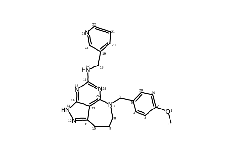 COc1ccc(CN2CCCc3n[nH]c4nc(NCc5cccnc5)nc2c34)cc1